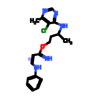 Cc1ncnc(NC(C)CCOC(=N)/C=C\Nc2ccccc2)c1Cl